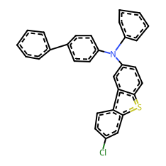 Clc1ccc2c(c1)sc1ccc(N(c3ccccc3)c3ccc(-c4ccccc4)cc3)cc12